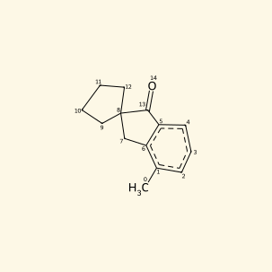 Cc1cccc2c1CC1(CCCC1)C2=O